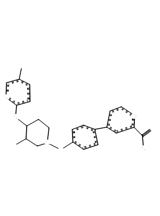 NC(=O)c1cc(-c2ccc(SN3CCC(Nc4ccc(C(F)(F)F)cn4)C(O)C3)cc2)ccn1